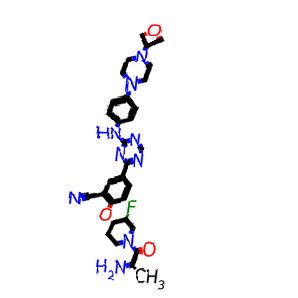 C[C@@H](N)C(=O)N1CC[C@H](Oc2ccc(-c3ncnc(Nc4ccc(N5CCN(C6COC6)CC5)cc4)n3)cc2C#N)[C@@H](F)C1